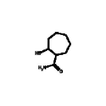 NC(=O)C1CCCCCC1S